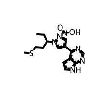 CCC(CCSC)n1cc(-c2ncnc3[nH]ccc23)cn1.O=NO